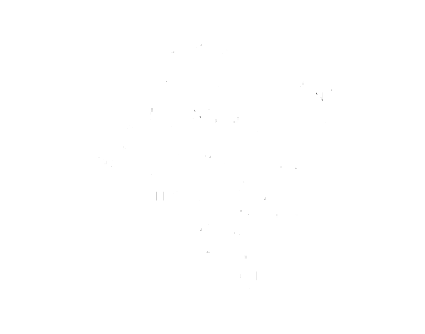 CC1=CC2(c3ccccc3-c3c(-c4ccncc4)cc(N(c4ccccc4)c4ccc(C(C)(C)C)cc4)cc32)C2CC(C)CC1C2